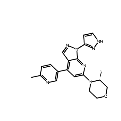 Cc1ccc(-c2cc(N3CCOC[C@H]3C)nc3c2cnn3-c2cc[nH]n2)cn1